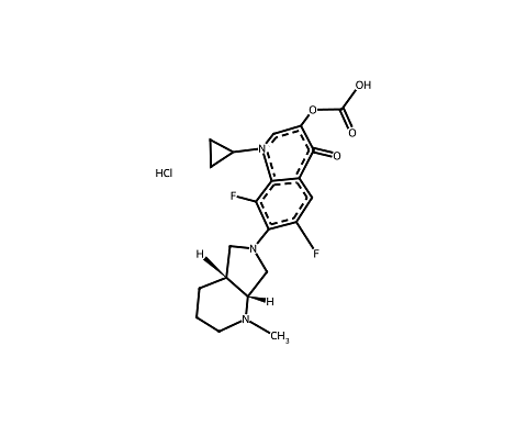 CN1CCC[C@@H]2CN(c3c(F)cc4c(=O)c(OC(=O)O)cn(C5CC5)c4c3F)C[C@@H]21.Cl